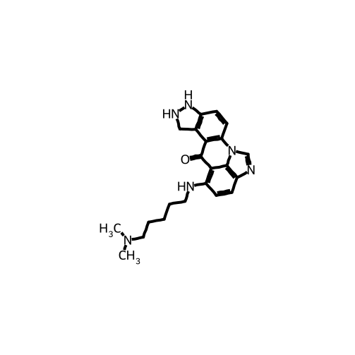 CN(C)CCCCCNc1ccc2ncn3c4ccc5c(c4c(=O)c1c23)CNN5